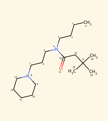 CCCCN(CCCN1CCCCC1)C(=O)CC(C)(C)C